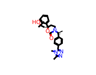 Cc1nnc(-c2ccc([C@H](C)N3CC[C@](CC(C)(C)O)(c4ccccc4)OC3=O)cc2)n1C